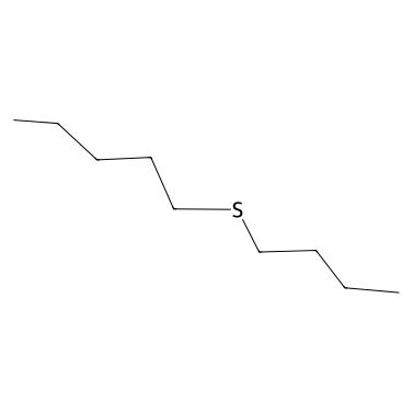 CCCCCSCCCC